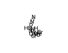 COc1nc(Nc2ccc(N3CCC(N(C)C)CC3)c(C)c2)ncc1C(=O)Nc1c(Cl)cccc1Br